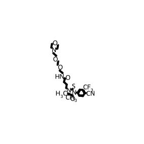 CC1(C)C(=O)N(c2ccc(C#N)c(C(F)(F)F)c2)C(=S)N1CCCC(=O)NCCOCCOCCN1CCOCC1